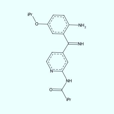 CC(C)Oc1ccc(N)c(C(=N)c2ccnc(NC(=O)C(C)C)c2)c1